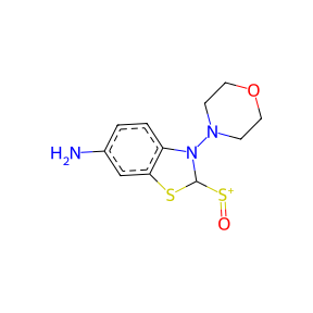 Nc1ccc2c(c1)SC([S+]=O)N2N1CCOCC1